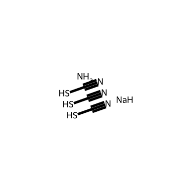 N.N#CS.N#CS.N#CS.[NaH]